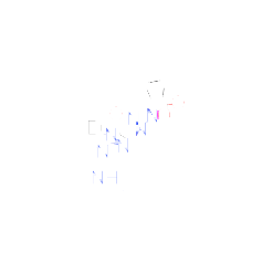 CCn1c(N2CCCC(N)C2)nc2cnn(Cc3noc(=O)c4ccccc34)c(=O)c21